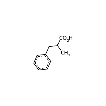 C[C](Cc1ccccc1)C(=O)O